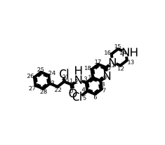 O=C(Nc1c(Cl)ccc2nc(N3CCNCC3)ccc12)C(Cl)Cc1ccccc1